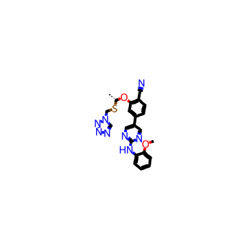 COc1ccccc1Nc1ncc(-c2ccc(C#N)c(O[C@@H](C)SCn3cnnn3)c2)cn1